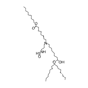 CCCCCCCCCOC(=O)CCCCCCCN(CCCCCCCC(O)OC(CCCCCCCC)CCCCCCCC)CCCN[SH]=O